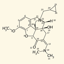 COc1ccc2c3c1OC1C(=O)C(=CN(C)C)C[C@@]4(O)[C@@H](C2)N(CC2CC2)CC[C@]314